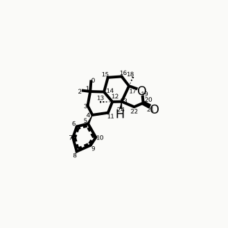 CC1(C)C[C@H](c2ccccc2)C[C@@]2(C)C1CC[C@@]1(C)OC(=O)C[C@@H]12